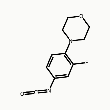 O=C=Nc1ccc(N2CCOCC2)c(F)c1